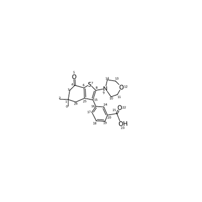 CC1(C)CC(=O)c2sc(N3CCOCC3)c(-c3cccc(C(=O)O)c3)c2C1